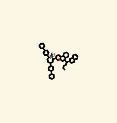 C=C/C=C(/C(=C\C=C/C)c1ccc2ccccc2c1)C1CCCCC1C1=CC=C(C2=CC(C3=CCC(c4ccccc4)C=C3)C=CC(c3ccc(-c4ccccc4)cc3)N2CC)CC1